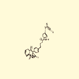 NNC1CC1c1ccc(NC(=O)CCCc2ccc(C(=O)Nc3ccccc3N)cc2)cc1